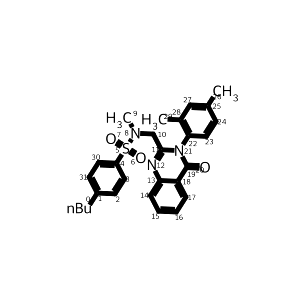 CCCCc1ccc(S(=O)(=O)N(C)Cc2nc3ccccc3c(=O)n2-c2ccc(C)cc2C)cc1